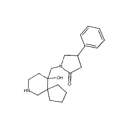 O=C1CC(c2ccccc2)CN1CC1(O)CCNCC12CCCC2